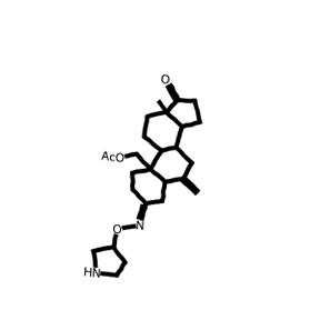 C=C1CC2C3CCC(=O)C3(C)CCC2C2(COC(C)=O)CCC(=NOC3CCNC3)CC12